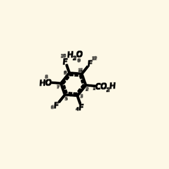 O.O=C(O)c1c(F)c(F)c(O)c(F)c1F